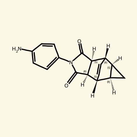 Nc1ccc(N2C(=O)[C@@H]3[C@@H]4C=C[C@@H]([C@H]5C[C@@H]45)[C@@H]3C2=O)cc1